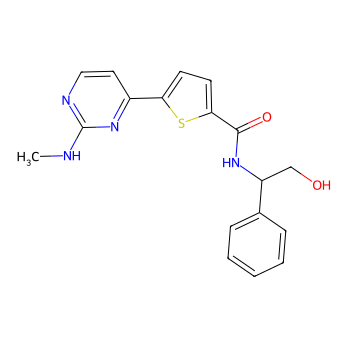 CNc1nccc(-c2ccc(C(=O)NC(CO)c3ccccc3)s2)n1